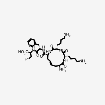 CC(C)C[C@H](NC(=O)[C@H](Cc1cccnc1)NC(=O)[C@@H]1C/C=C/C[C@H](N)C(=O)N[C@@H](CCCCN)C(=O)N[C@@H](CCCCN)C(=O)N1)C(=O)O